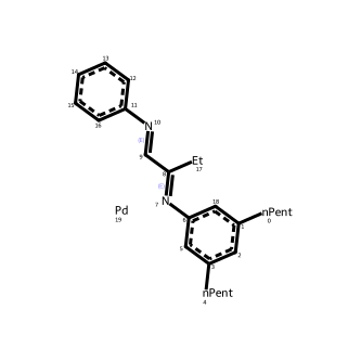 CCCCCc1cc(CCCCC)cc(/N=C(/C=N/c2ccccc2)CC)c1.[Pd]